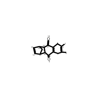 CC1=C(C)CC2=C(C1)C(=O)C1C3C=CC(C3)C1C2=O